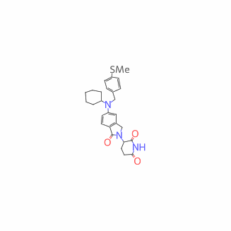 CSc1ccc(CN(c2ccc3c(c2)CN(C2CCC(=O)NC2=O)C3=O)C2CCCCC2)cc1